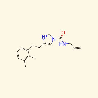 C=CCNC(=O)n1cnc(CCc2cccc(C)c2C)c1